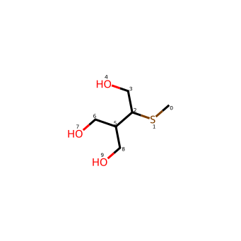 CSC(CO)C(CO)CO